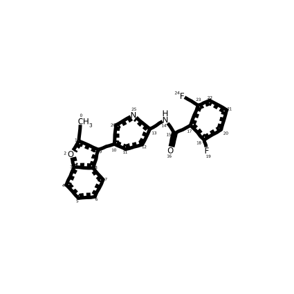 Cc1oc2ccccc2c1-c1ccc(NC(=O)c2c(F)cccc2F)nc1